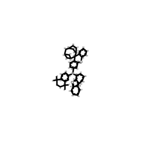 CC1(C)CCC(C)(C)c2cc(N(c3ccc4c(c3)Oc3ccccc3C43C4CCC(CC5CC3C5)C4)c3cccc4c3oc3ccccc34)ccc21